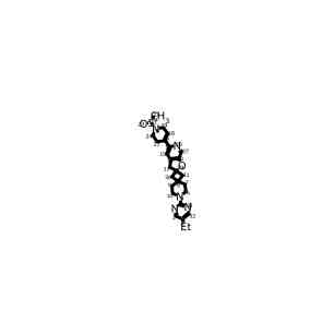 CCc1cnc(N2CCC3(CC2)CC2(Cc4cc(C5=CCN([S+](C)[O-])CC5)ncc4O2)C3)nc1